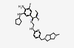 C/C=C(F)\C(=N/CNc1ccc(CN2CC3CN(C)CC3C2)cn1)c1cc(F)c(N)c(NC2CCCC2)c1